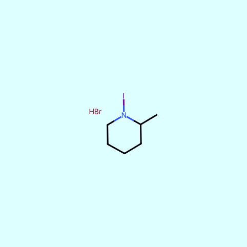 Br.CC1CCCCN1I